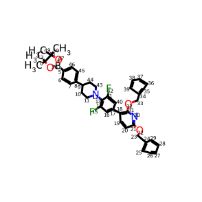 CC1(C)OB(c2ccc(C3CCN(c4c(F)cc(-c5ccc(OCc6ccccc6)nc5OCc5ccccc5)cc4F)CC3)cc2)OC1(C)C